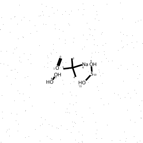 C=O.C[C](C)(C)[Na].OO.OSO